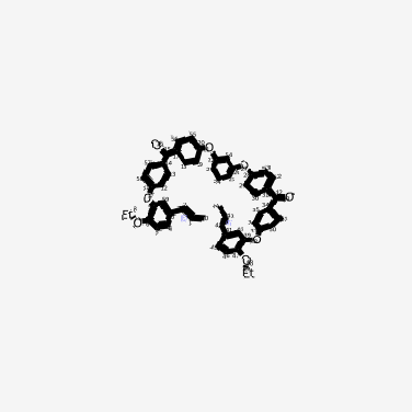 C/C=C/c1ccc(OCC)c(Oc2ccc(C(=O)c3ccc(Oc4cccc(Oc5ccc(C(=O)c6ccc(Oc7cc(/C=C/C)ccc7OCC)cc6)cc5)c4)cc3)cc2)c1